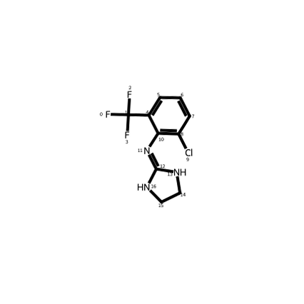 FC(F)(F)c1cccc(Cl)c1N=C1NCCN1